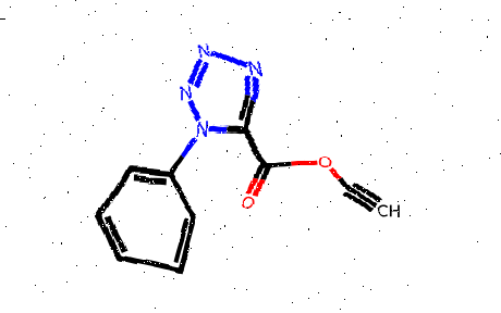 C#COC(=O)c1nnnn1-c1ccccc1